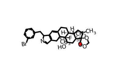 C[C@@H]1C[C@H]2[C@@H]3CCC4=CC5=C(C=NC5Cc5cccc(Br)c5)C[C@]4(C)[C@@]3(F)[C@@H](O)C[C@]2(C)[C@]12OCOC21COCO1